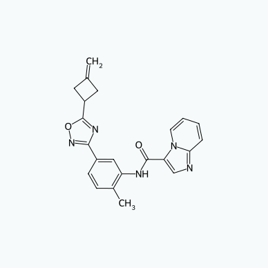 C=C1CC(c2nc(-c3ccc(C)c(NC(=O)c4cnc5ccccn45)c3)no2)C1